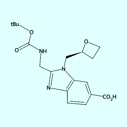 CC(C)(C)OC(=O)NCc1nc2ccc(C(=O)O)cc2n1C[C@@H]1CCO1